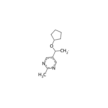 [CH2]C(OC1CCCC1)c1cnc(C)nc1